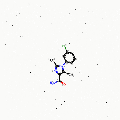 Cc1nc(C(N)=O)c(C)n1-c1cccc(Cl)c1